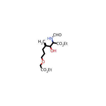 C=C(CCCOCC(=O)OCC)C(O)C(NC=O)C(=O)OCC